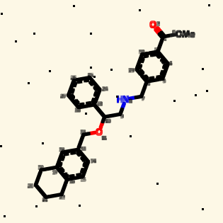 COC(=O)c1ccc(CNCC(OCc2ccc3c(c2)CCCC3)c2ccccc2)cc1